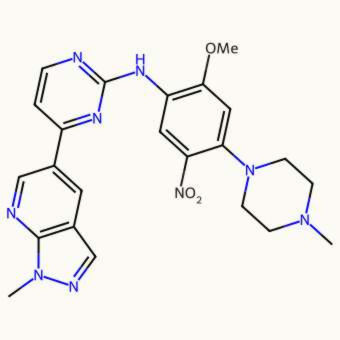 COc1cc(N2CCN(C)CC2)c([N+](=O)[O-])cc1Nc1nccc(-c2cnc3c(cnn3C)c2)n1